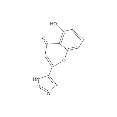 O=c1cc(-c2nnn[nH]2)oc2cccc(O)c12